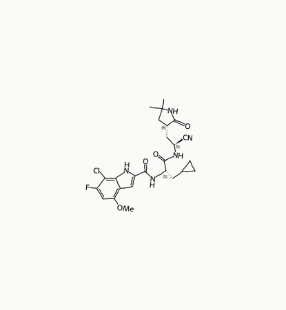 COc1cc(F)c(Cl)c2[nH]c(C(=O)N[C@@H](CC3CC3)C(=O)N[C@H](C#N)C[C@@H]3CC(C)(C)NC3=O)cc12